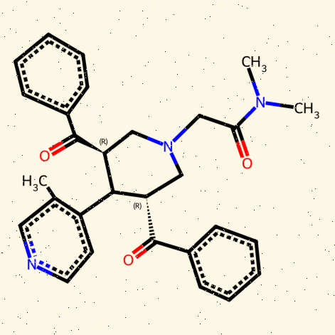 Cc1cnccc1C1[C@@H](C(=O)c2ccccc2)CN(CC(=O)N(C)C)C[C@@H]1C(=O)c1ccccc1